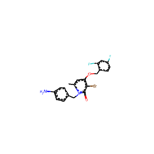 Cc1cc(OCc2ccc(F)cc2F)c(Br)c(=O)n1Cc1ccc(N)cc1